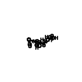 O=C(N[C@H]1CCC[C@H]2CC[C@@H](C(=O)N3CC(c4ccccc4N4CCOCC4)C3)N2C1=O)c1cc2cc(C(F)P(=O)(O)O)ccc2s1